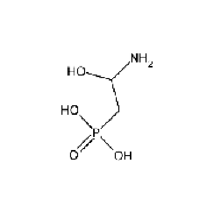 NC(O)CP(=O)(O)O